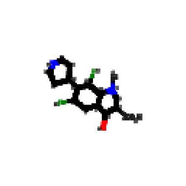 CCn1cc(C(=O)O)c(=O)c2cc(F)c(-c3ccncc3)c(F)c21